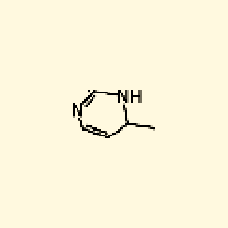 CC1C=CN=[C]N1